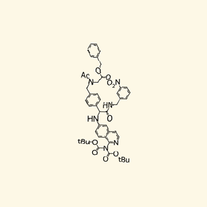 CC(=O)N(CC(=O)OCc1ccccc1)Cc1ccc(C(Nc2ccc3c(N(C(=O)OC(C)(C)C)C(=O)OC(C)(C)C)nccc3c2)C(=O)NCc2cccc([N+](=O)[O-])c2)cc1